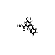 Cc1cc(Cc2ccc(F)cc2)c(O)c(C(=O)O)n1